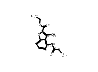 CCOC(=O)c1oc2cccc(NC(=O)CC)c2c1C